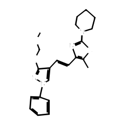 COCOc1nn(-c2ccccc2)cc1/C=C/c1nc(N2CCCCC2)sc1C